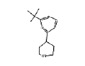 CC(C)(C)c1cccc(C2CCNCC2)n1